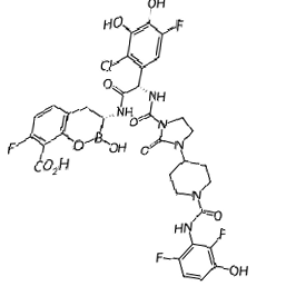 O=C(O)c1c(F)ccc2c1OB(O)[C@@H](NC(=O)[C@@H](NC(=O)N1CCN(C3CCN(C(=O)Nc4c(F)ccc(O)c4F)CC3)C1=O)c1cc(F)c(O)c(O)c1Cl)C2